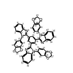 c1ccc2c(c1)nc(-c1cc(-c3nc4ccccc4n3-c3ccc4c(c3)OCO4)cc(-c3nc4ccccc4n3-c3ccc4c(c3)OCO4)c1)n2-c1ccc2c(c1)OCO2